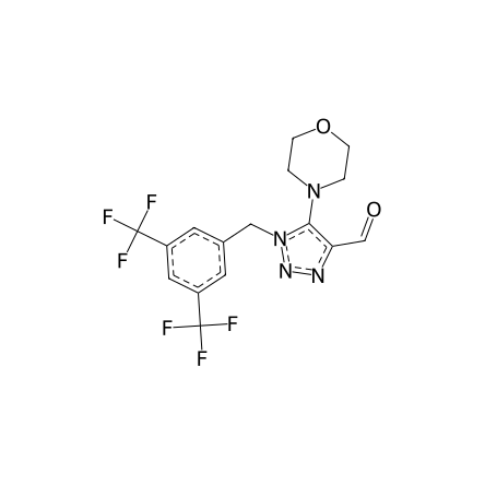 O=Cc1nnn(Cc2cc(C(F)(F)F)cc(C(F)(F)F)c2)c1N1CCOCC1